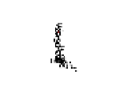 CCC(F)(CC)CN1CCC(COc2ccc(-c3ccc(C(=O)N4C[C@@H](F)CC4C(N)=O)cc3F)cc2)CC1